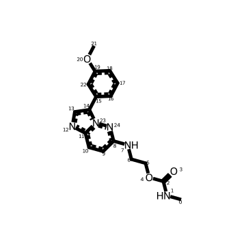 CNC(=O)OCCNc1ccc2ncc(-c3cccc(OC)c3)n2n1